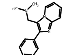 CCCN(C)Cc1c(-c2ccccc2)nc2ccccn12